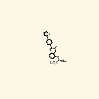 CCCCC(Oc1ccccc1CN(C)C(=O)c1ccc(-c2ccco2)cc1)C(=O)OCC